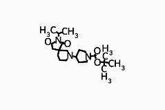 CC(C)N1C(=O)CC2(CCCN(C3CCN(C(=O)OC(C)(C)C)CC3)C2)C1=O